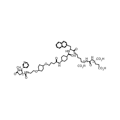 CN1C(=O)C[C@H](C(=O)NCCOC2CCC(OCCCC(=O)NC3CCC(C(=O)NC(Cc4ccc5ccccc5c4)C(=O)NCCCC[C@H](NC(=O)N[C@@H](CCC(=O)O)C(=O)O)C(=O)O)CC3)CC2)[C@H]1c1cccnc1